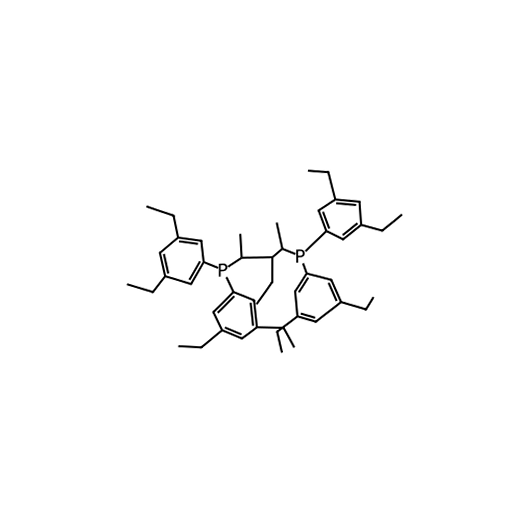 CCc1cc(CC)cc(P(c2cc(CC)cc(CC)c2)C(C)C(CC)C(C)P(c2cc(CC)cc(CC)c2)c2cc(CC)cc(CC)c2)c1